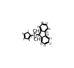 [CH3][Ti]([CH3])([C]1=CC=CC1)[CH]1c2ccccc2-c2ccccc21